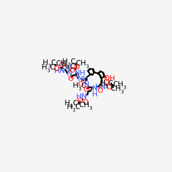 CN1C(=O)[C@H](CCCNC(=O)OC(C)(C)C)NC(=O)[C@@H](NC(=O)OC(C)(C)C)Cc2cc(ccc2O)-c2cccc(c2)C[C@H]1C(=O)NC[C@H](NC(=O)OC(C)(C)C)C(=O)NCCNC(=O)OC(C)(C)C